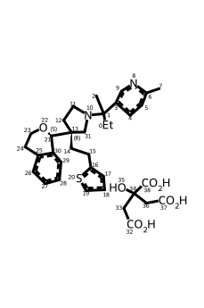 CCC(C)(c1ccc(C)nc1)N1CC[C@@](CCc2cccs2)([C@H]2OCCc3ccccc32)C1.O=C(O)CC(O)(CC(=O)O)C(=O)O